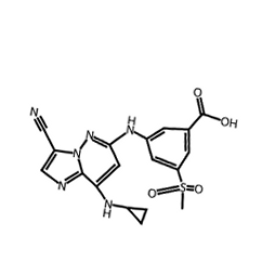 CS(=O)(=O)c1cc(Nc2cc(NC3CC3)c3ncc(C#N)n3n2)cc(C(=O)O)c1